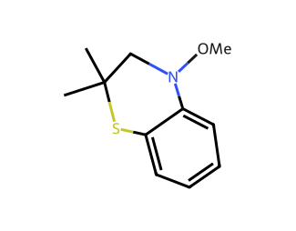 CON1CC(C)(C)Sc2ccccc21